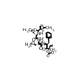 COC[C@H](NC(=O)c1cnc(C)s1)C(=O)N[C@@H](COC)C(=O)N[C@@H](Cc1ccccc1)C(=O)[C@@](C)(CI)OC(=O)Cl